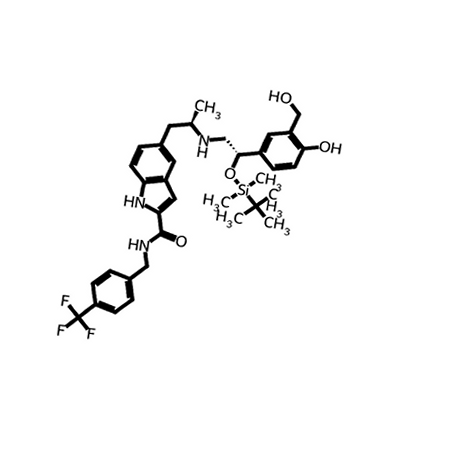 C[C@H](Cc1ccc2[nH]c(C(=O)NCc3ccc(C(F)(F)F)cc3)cc2c1)NC[C@@H](O[Si](C)(C)C(C)(C)C)c1ccc(O)c(CO)c1